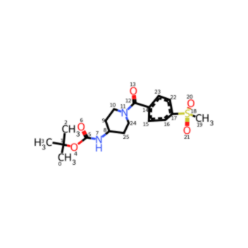 CC(C)(C)OC(=O)NC1CCN(C(=O)c2ccc(S(C)(=O)=O)cc2)CC1